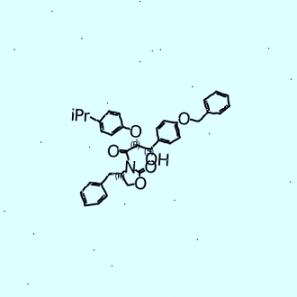 CC(C)c1ccc(O[C@@H](C(=O)N2C(=O)OC[C@H]2Cc2ccccc2)[C@@H](O)c2ccc(OCc3ccccc3)cc2)cc1